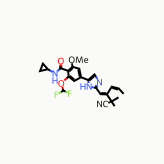 C/C=C\C(=C/c1ncc(-c2cc(OC)c(C(=O)NC3CC3)c(OC(F)F)c2)[nH]1)C(C)(C)C#N